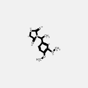 COc1ccc(C(C)N2C(=O)CSC2=S)cc1OC